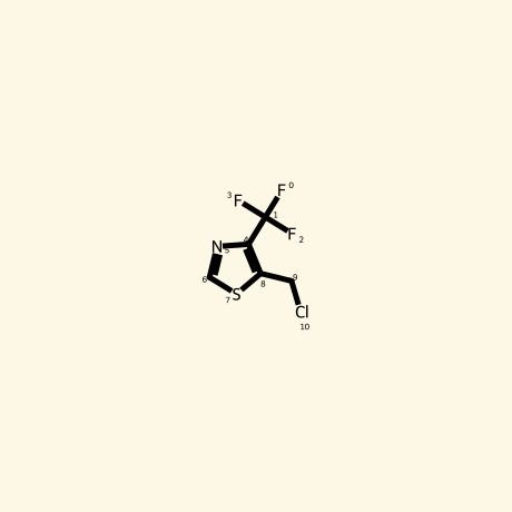 FC(F)(F)c1ncsc1CCl